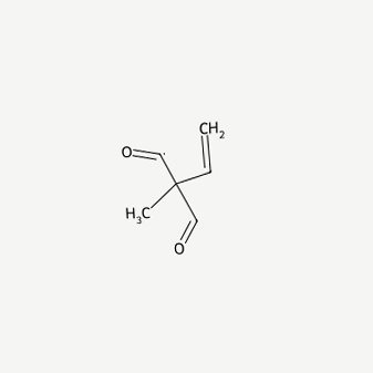 C=CC(C)([C]=O)C=O